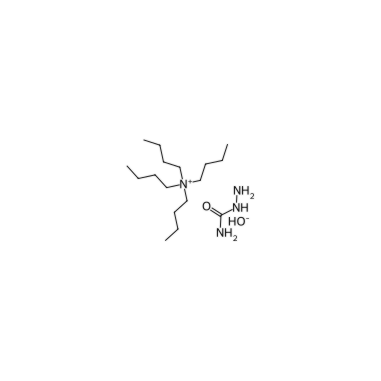 CCCC[N+](CCCC)(CCCC)CCCC.NNC(N)=O.[OH-]